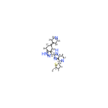 Cc1ccc(-c2nccc3[nH]c(-c4n[nH]c5ccc(-c6ccncc6)cc45)nc23)s1